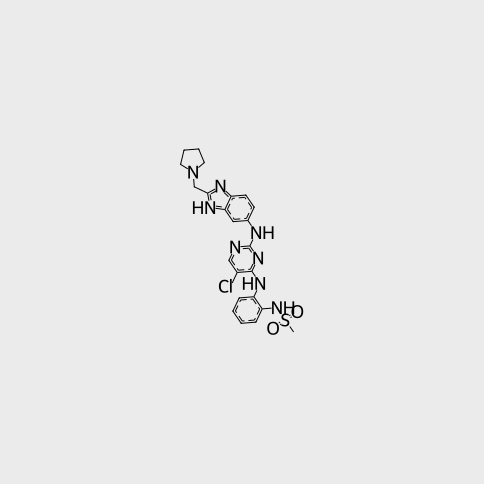 CS(=O)(=O)Nc1ccccc1Nc1nc(Nc2ccc3nc(CN4CCCC4)[nH]c3c2)ncc1Cl